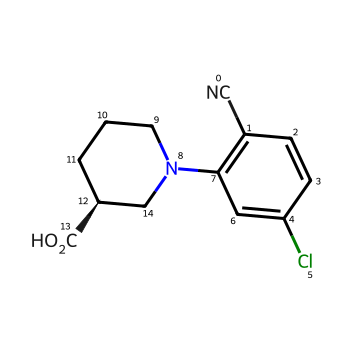 N#Cc1ccc(Cl)cc1N1CCC[C@H](C(=O)O)C1